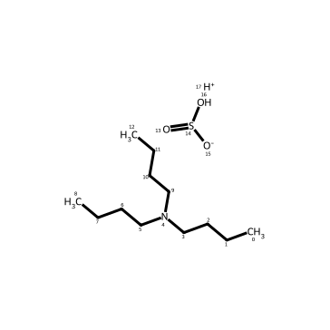 CCCCN(CCCC)CCCC.O=S([O-])O.[H+]